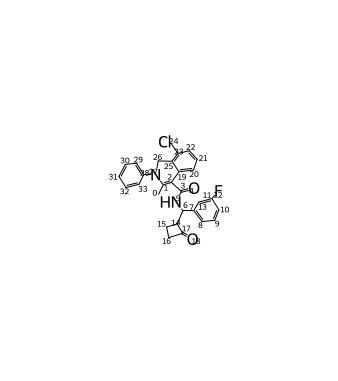 CC1=C(C(=O)N[C@H](c2cccc(F)c2)C2CCC2=O)c2cccc(Cl)c2CN1c1ccccc1